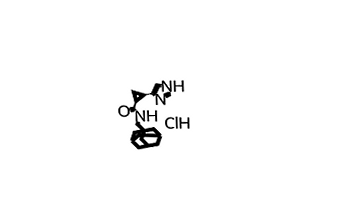 Cl.O=C(NCC12CC3CC(CC(C3)C1)C2)[C@H]1C[C@@H]1c1c[nH]cn1